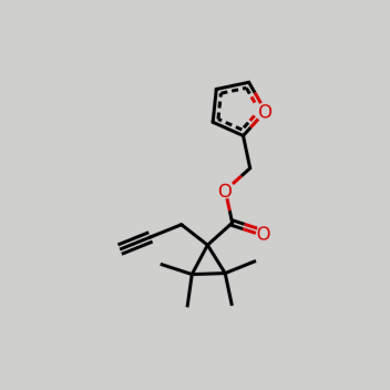 C#CCC1(C(=O)OCc2ccco2)C(C)(C)C1(C)C